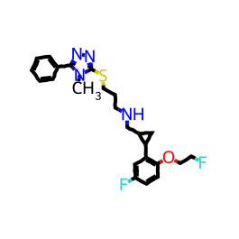 Cn1c(SCCCNCC2CC2c2cc(F)ccc2OCCF)nnc1-c1ccccc1